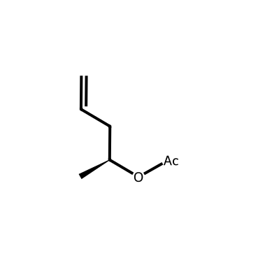 C=CC[C@H](C)OC(C)=O